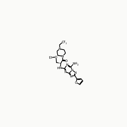 CCOC[C@H](Nc1nc(N)n2nc(-c3ccco3)nc2n1)C(=O)N1CCN(CC(F)(F)F)CC1